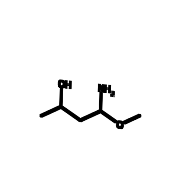 COC(N)CC(C)O